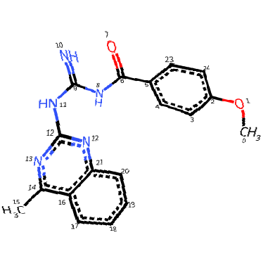 COc1ccc(C(=O)NC(=N)Nc2nc(C)c3ccccc3n2)cc1